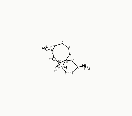 N[C@H]1CCNC2(CCCCB(O)OC2=O)C1